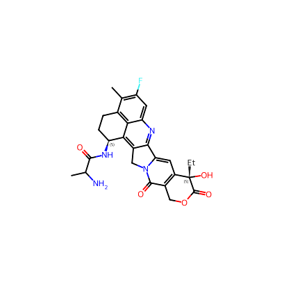 CC[C@@]1(O)C(=O)OCc2c1cc1n(c2=O)Cc2c-1nc1cc(F)c(C)c3c1c2[C@@H](NC(=O)C(C)N)CC3